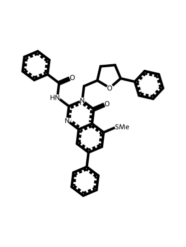 CSc1cc(-c2ccccc2)cc2nc(NC(=O)c3ccccc3)n(CC3CCC(c4ccccc4)O3)c(=O)c12